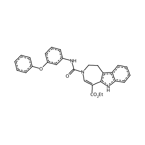 CCOC(=O)C1=CN(C(=O)Nc2cccc(Oc3ccccc3)c2)CCc2c1[nH]c1ccccc21